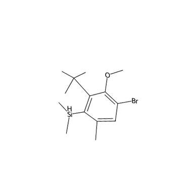 COc1c(Br)cc(C)c([SiH](C)C)c1C(C)(C)C